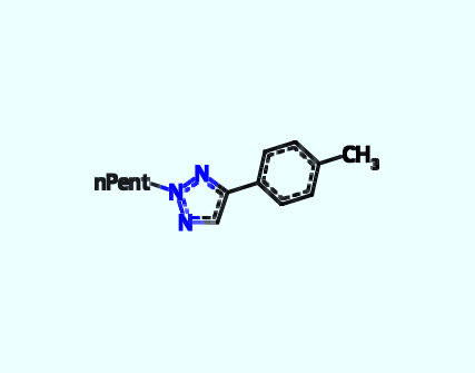 CCCCCn1ncc(-c2ccc(C)cc2)n1